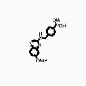 COc1ccc2ncc(NCc3ccc(B(O)O)cc3)nc2c1